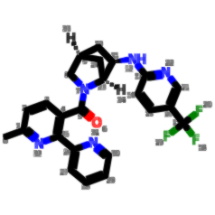 Cc1ccc(C(=O)N2C[C@H]3C[C@@H](Nc4ccc(C(F)(F)F)cn4)[C@@H]2C3)c(-c2ccccn2)n1